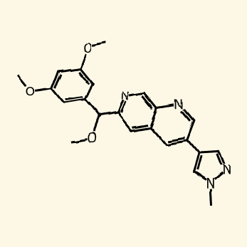 COc1cc(OC)cc(C(OC)c2cc3cc(-c4cnn(C)c4)cnc3cn2)c1